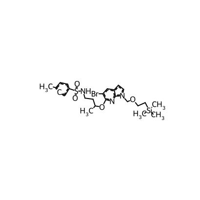 Cc1ccc(S(=O)(=O)NCCC(C)Oc2nc3c(ccn3COCC[Si](C)(C)C)cc2Br)cc1